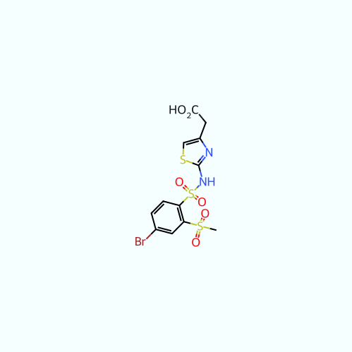 CS(=O)(=O)c1cc(Br)ccc1S(=O)(=O)Nc1nc(CC(=O)O)cs1